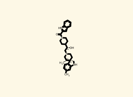 Cc1ccc2c(c1)NC[C@]21CCN(C[C@@H](O)C2CCN(C(=O)c3cc4ccccc4[nH]3)CC2)C[C@H]1C